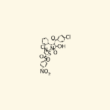 O=C(C1=C(O)C(=O)N(c2ncc(S(=O)(=O)c3ccc([N+](=O)[O-])cc3)s2)C1c1ccccc1Cl)c1ccc(Cl)cc1